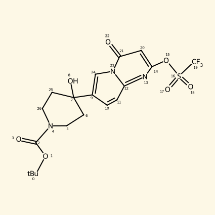 CC(C)(C)OC(=O)N1CCC(O)(c2ccc3nc(OS(=O)(=O)C(F)(F)F)cc(=O)n3c2)CC1